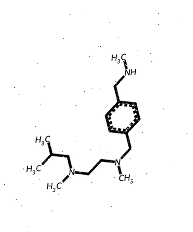 CNCc1ccc(CN(C)CCN(C)CC(C)C)cc1